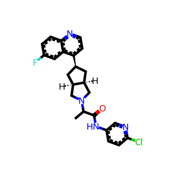 CC(C(=O)Nc1ccc(Cl)nc1)N1C[C@H]2C[C@@H](c3ccnc4ccc(F)cc34)C[C@H]2C1